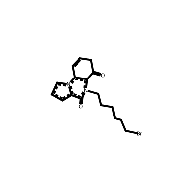 O=C1CC=Cc2c1n(CCCCCCBr)c(=O)c1cccn21